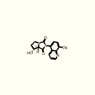 N#Cc1ccc(N2C(=O)[C@@H]3[C@H](O)CCN3C2=O)c2cccnc12